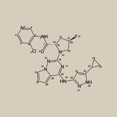 O=C(Nc1cnccc1Cl)[C@@H]1C[C@@H](F)CN1c1nc(Nc2cc(C3CC3)[nH]n2)c2cccn2n1